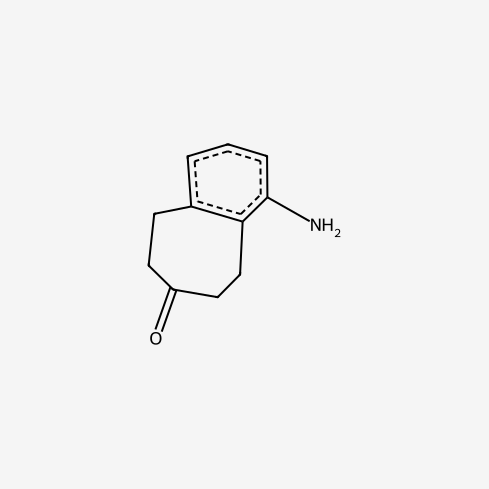 Nc1cccc2c1CCC(=O)CC2